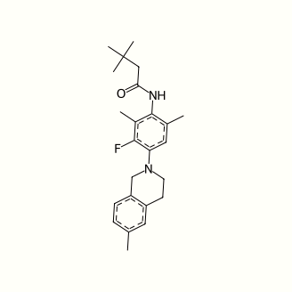 Cc1ccc2c(c1)CCN(c1cc(C)c(NC(=O)CC(C)(C)C)c(C)c1F)C2